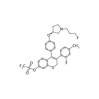 Cc1ccc(C2=C(c3ccc(O[C@H]4CCN(CCCF)C4)cc3)c3ccc(OS(=O)(=O)C(F)(F)F)cc3SC2)c(F)c1